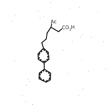 CC(=O)C(CCCc1ccc(-c2ccccc2)cc1)CC(=O)O